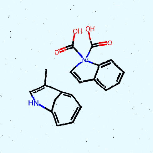 Cc1c[nH]c2ccccc12.O=C(O)[N+]1(C(=O)O)C=Cc2ccccc21